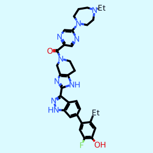 CCc1cc(O)c(F)cc1-c1ccc2c(-c3nc4c([nH]3)CCN(C(=O)c3cnc(N5CCCN(CC)CC5)cn3)C4)n[nH]c2c1